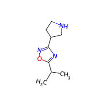 CC(C)c1nc(C2CCNC2)no1